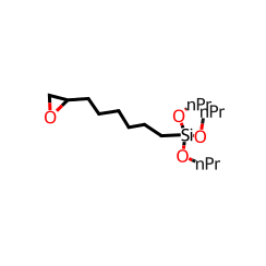 CCCO[Si](CCCCCCC1CO1)(OCCC)OCCC